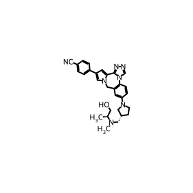 C[C@@H](CO)N(C)C[C@H]1CCN(c2ccc3c(c2)Cn2cc(-c4ccc(C#N)cc4)cc2-c2nncn2-3)C1